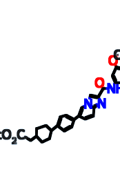 CCOC(=O)CC1CCC(c2ccc(-c3ccc4nc(C(=O)Nc5cccc(OC(F)(F)F)c5)cn4c3)cc2)CC1